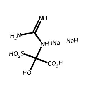 N=C(N)NC(O)(C(=O)O)S(=O)(=O)O.[NaH].[NaH]